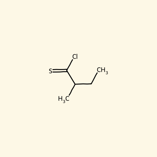 CCC(C)C(=S)Cl